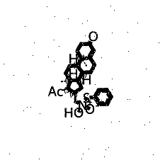 CC(=O)[C@H]1[C@H](C[N+]([O-])(O)Sc2ccccc2)C[C@H]2[C@@H]3CCC4=CC(=O)CC[C@]4(C)[C@H]3CC[C@@]21C